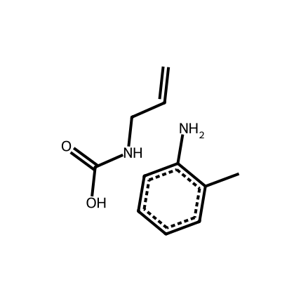 C=CCNC(=O)O.Cc1ccccc1N